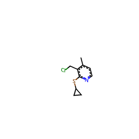 Cc1ccnc(SC2CC2)c1CCl